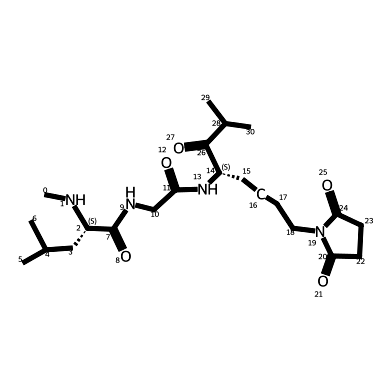 CN[C@@H](CC(C)C)C(=O)NCC(=O)N[C@@H](CCCCN1C(=O)CCC1=O)C(=O)C(C)C